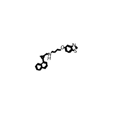 c1ccc2c(C3CC3CNCCCCOc3ccc4scnc4c3)cccc2c1